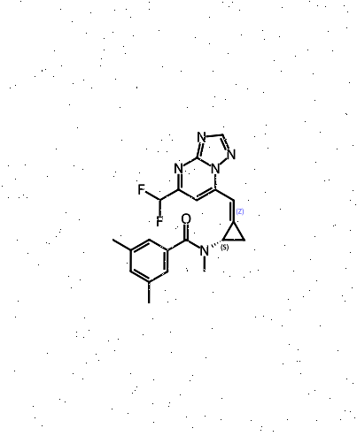 Cc1cc(C)cc(C(=O)N(C)[C@H]2C/C2=C/c2cc(C(F)F)nc3ncnn23)c1